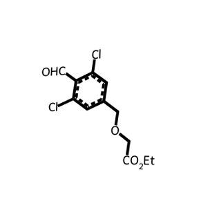 CCOC(=O)COCc1cc(Cl)c(C=O)c(Cl)c1